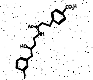 CC(=O)N(CCc1ccc(C(=O)O)cc1)NCCC(O)Cc1cccc(F)c1